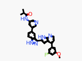 COc1cc(F)cc(-c2ccnc3[nH]c(-c4n[nH]c5ccc(-c6cncc(NC(=O)C(C)C)c6)cc45)cc23)c1